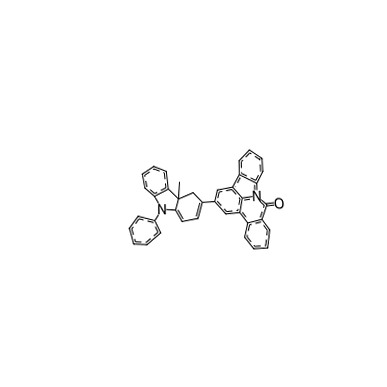 CC12CC(c3cc4c5ccccc5c(=O)n5c6ccccc6c(c3)c45)=CC=C1N(c1ccccc1)c1ccccc12